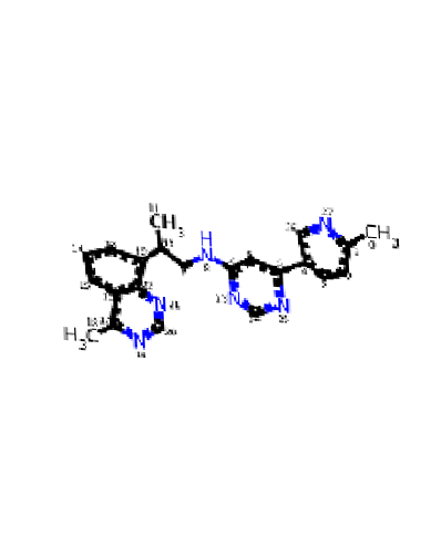 Cc1ccc(-c2cc(NCC(C)c3cccc4c(C)ncnc34)ncn2)cn1